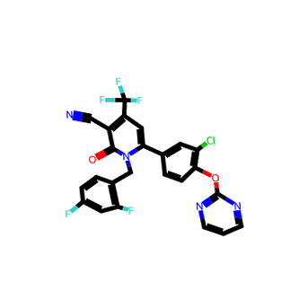 N#Cc1c(C(F)(F)F)cc(-c2ccc(Oc3ncccn3)c(Cl)c2)n(Cc2ccc(F)cc2F)c1=O